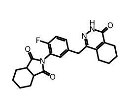 O=C1C2CCCCC2C(=O)N1c1cc(Cc2n[nH]c(=O)c3c2CCCC3)ccc1F